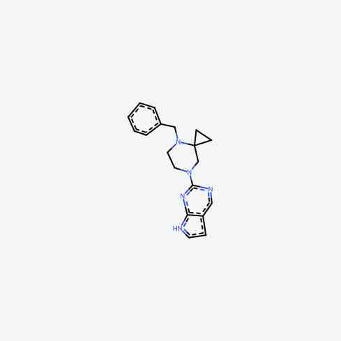 c1ccc(CN2CCN(c3ncc4cc[nH]c4n3)CC23CC3)cc1